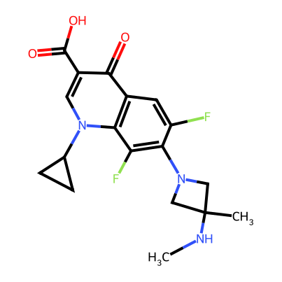 CNC1(C)CN(c2c(F)cc3c(=O)c(C(=O)O)cn(C4CC4)c3c2F)C1